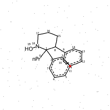 CCCC1(c2ccccc2)C(c2ccccc2)CCCN1O